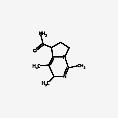 CC1=NC(C)C(C)=C2C(C(N)=O)CCN12